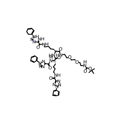 CC(C)(C)OC(=O)NCCOCCOCCNC(=O)[C@H](CCCCNC(=O)C(=N)/N=N\NC1=CC=CCC1)NC(=O)[C@H](CCCCNC(=O)c1nnn(-c2ccccc2)n1)NC(=O)c1nnn(-c2ccccc2)n1